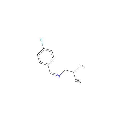 CC(C)C/N=C\c1ccc(F)cc1